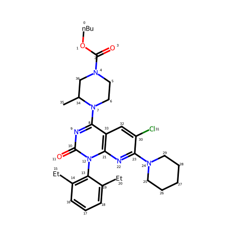 CCCCOC(=O)N1CCN(c2nc(=O)n(-c3c(CC)cccc3CC)c3nc(N4CCCCC4)c(Cl)cc23)C(C)C1